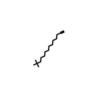 C#CCCCCCCCCCCC(C)(C)C